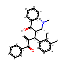 C=C(C(=O)c1ccccc1)C(c1cccc(C)c1C)C(CN(C)C)C(=O)c1ccccc1